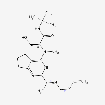 C=C/C=C\N=C(/C)C1N=C2CCCC2=C(N(C)[C@@H](CO)C(=O)NC(C)(C)C)N1